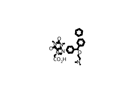 CN(C)CCOC(c1ccccc1)c1ccccc1.Cn1c(=O)c2c(ncn2CC(=O)O)n(C)c1=O.c1ccccc1